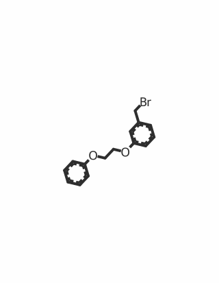 BrCc1cccc(OCCOc2ccccc2)c1